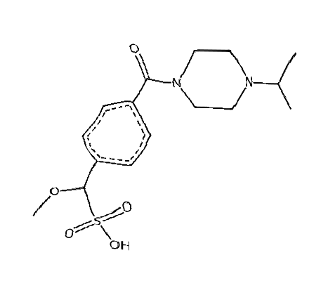 COC(c1ccc(C(=O)N2CCN(C(C)C)CC2)cc1)S(=O)(=O)O